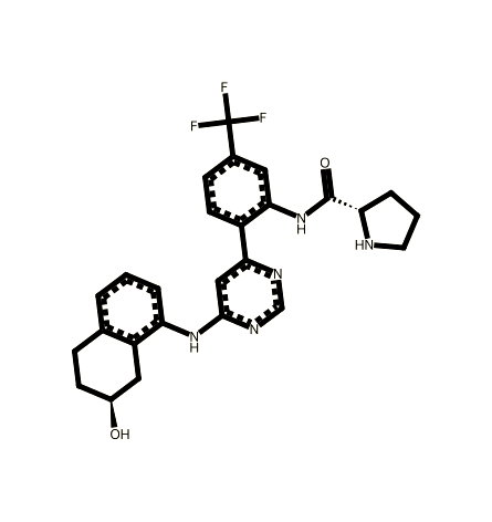 O=C(Nc1cc(C(F)(F)F)ccc1-c1cc(Nc2cccc3c2C[C@@H](O)CC3)ncn1)[C@@H]1CCCN1